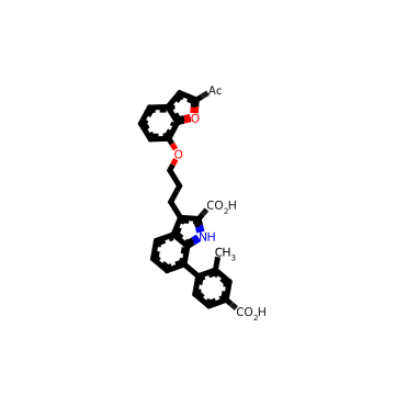 CC(=O)c1cc2cccc(OCCCc3c(C(=O)O)[nH]c4c(-c5ccc(C(=O)O)cc5C)cccc34)c2o1